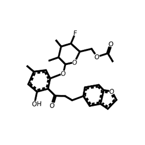 CC(=O)OCC1OC(Oc2cc(C)cc(O)c2C(=O)CCc2ccc3occc3c2)C(C)C(C)C1F